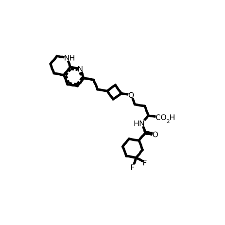 O=C(NC(CCOC1CC(CCc2ccc3c(n2)NCCC3)C1)C(=O)O)C1CCCC(F)(F)C1